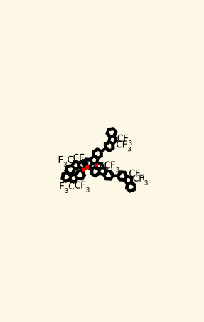 FC(F)(F)C1(CC2(C(F)(F)F)c3cc(-c4ccc5c(c4)-c4ccccc4C5(C(F)(F)F)C(F)(F)F)ccc3-c3ccc(-c4ccc5c(c4)-c4ccccc4C5(C(F)(F)F)C(F)(F)F)cc32)c2cc(-c3ccc4c(c3)-c3ccccc3C4(C(F)(F)F)C(F)(F)F)ccc2-c2ccc(-c3ccc4c(c3)-c3ccccc3C4(C(F)(F)F)C(F)(F)F)cc21